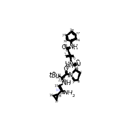 CC(C)(NC(=O)[C@@H]1CCCN1C(=O)[C@@H](N/C=C(\N)C1CC1)C(C)(C)C)C(=O)Nc1ccccc1